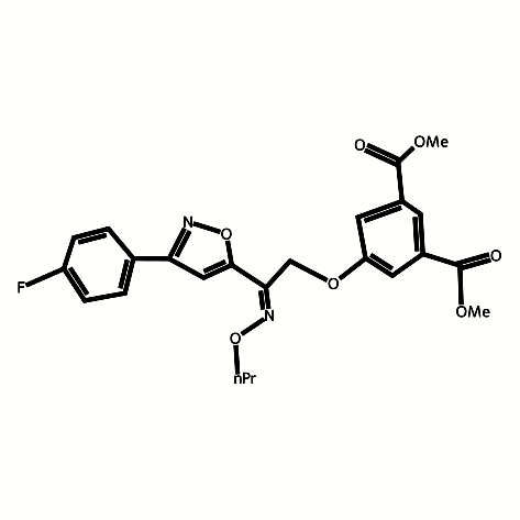 CCCON=C(COc1cc(C(=O)OC)cc(C(=O)OC)c1)c1cc(-c2ccc(F)cc2)no1